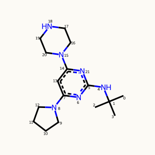 CC(C)(C)Nc1nc(N2CCCC2)cc(N2CCNCC2)n1